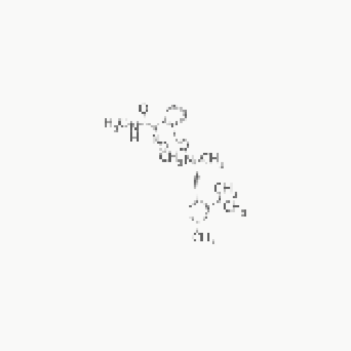 CNC(=O)/C(=N/OC)c1ccccc1CO/N=C(\C)C#Cc1ccc(C)cc1C(C)C